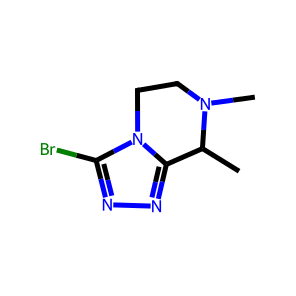 CC1c2nnc(Br)n2CCN1C